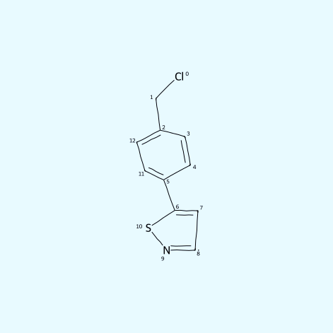 ClCc1ccc(-c2c[c]ns2)cc1